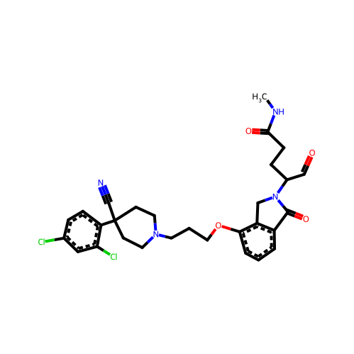 CNC(=O)CCC(C=O)N1Cc2c(OCCCN3CCC(C#N)(c4ccc(Cl)cc4Cl)CC3)cccc2C1=O